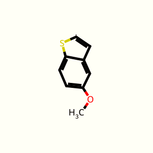 COc1ccc2s[c]cc2c1